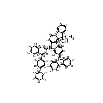 CC1(C)c2ccccc2-c2ccc3c(c21)c1ccc(-n2c4ccccc4c4ccccc42)cc1n3-c1nc(-c2ccc(-c3ccccc3)cc2)c2ccccc2n1